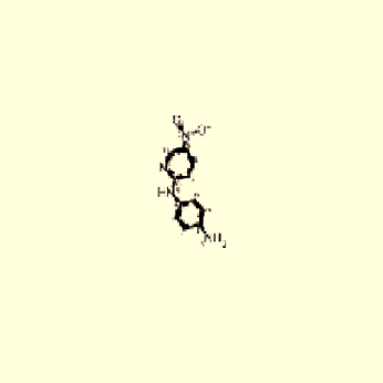 Nc1ccc(Nc2ccc([N+](=O)[O-])cn2)cc1